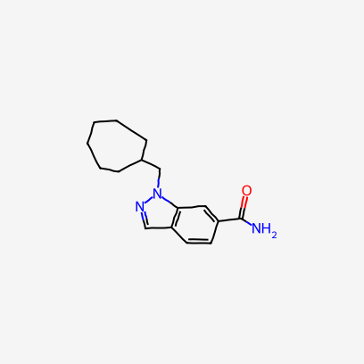 NC(=O)c1ccc2cnn(CC3CCCCCC3)c2c1